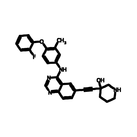 Cc1cc(Nc2ncnc3ccc(C#CC4(O)CCCNC4)cc23)ccc1Oc1ccccc1F